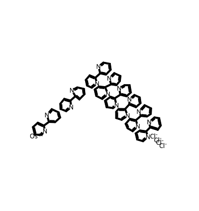 [Cl-].[Cl-].[Cl-].[Cl-].[Os+4].c1ccc(-c2ccccn2)nc1.c1ccc(-c2ccccn2)nc1.c1ccc(-c2ccccn2)nc1.c1ccc(-c2ccccn2)nc1.c1ccc(-c2ccccn2)nc1.c1ccc(-c2ccccn2)nc1.c1ccc(-c2ccccn2)nc1.c1ccc(-c2ccccn2)nc1